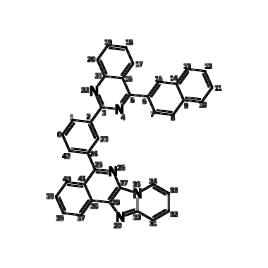 c1cc(-c2nc(-c3ccc4ccccc4c3)c3ccccc3n2)cc(-c2nc3c(nc4ccccn43)c3ccccc23)c1